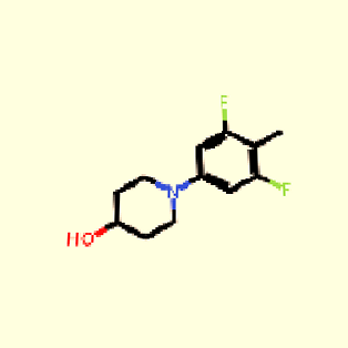 Cc1c(F)cc(N2CCC(O)CC2)cc1F